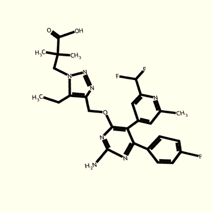 CCc1c(COc2nc(N)nc(-c3ccc(F)cc3)c2-c2cc(C)nc(C(F)F)c2)nnn1CC(C)(C)C(=O)O